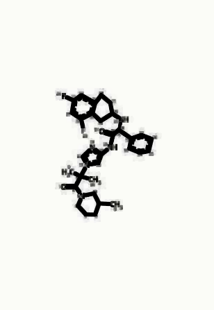 CC1CCCN(C(=O)C(C)(C)n2cnc(NC(=O)[C@@H](NC3CCc4cc(F)cc(F)c4C3)c3ccccc3)c2)C1